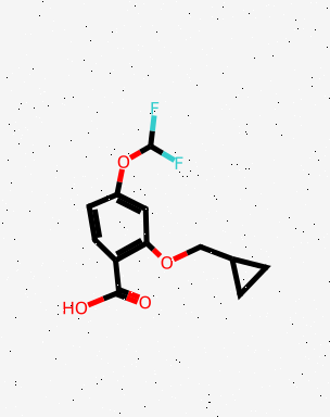 O=C(O)c1ccc(OC(F)F)cc1OCC1CC1